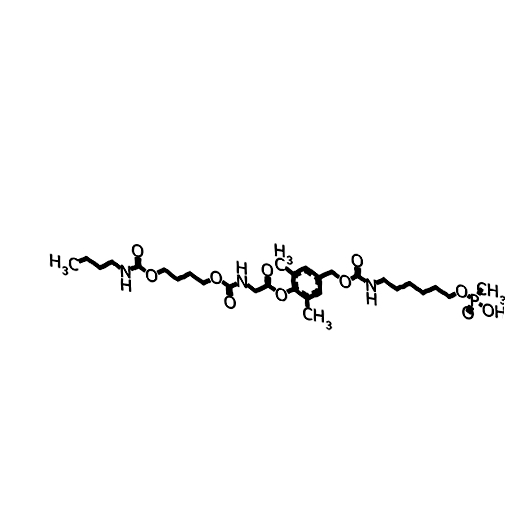 CCCCNC(=O)OCCCCOC(=O)NCC(=O)Oc1c(C)cc(COC(=O)NCCCCCCOP(C)(=O)O)cc1C